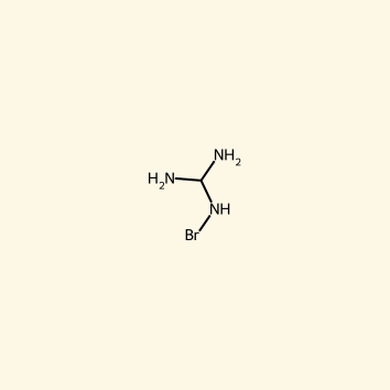 NC(N)NBr